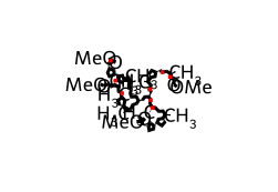 COOCC[C@H](C)CCC[C@H]1CC[C@H]([C@H](C)CCC[C@@H](CC[C@@H](C)CCC[C@@H](C)[C@H]2CC[C@H](C3CC[C@H](CC(=O)OC)C3)C2)CC[C@@H](CCC[C@@H](C)[C@H]2CC[C@H](CCC[C@@H](C)CCOOC)C2)CC[C@@H](C)CCC[C@@H](C)[C@H]2CC[C@H](C3CC[C@H](CC(=O)OC)C3)C2)C1